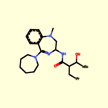 CCCCC(O)C(CC(C)C)C(=O)NC1CN(C)c2ccccc2C(N2CCCCCC2)=N1